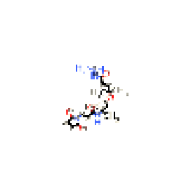 CC(C)(CCOC(C)(C)CCC(=O)NNN)NC(=O)CCN1C(=O)CCC1=O